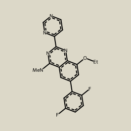 CCOc1cc(-c2cc(F)ccc2F)cc2c(NC)nc(-c3ccncn3)nc12